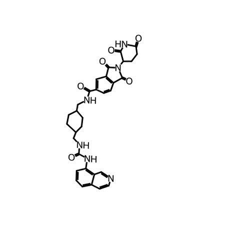 O=C1CCC(N2C(=O)c3ccc(C(=O)NCC4CCC(CNC(=O)Nc5cccc6ccncc56)CC4)cc3C2=O)C(=O)N1